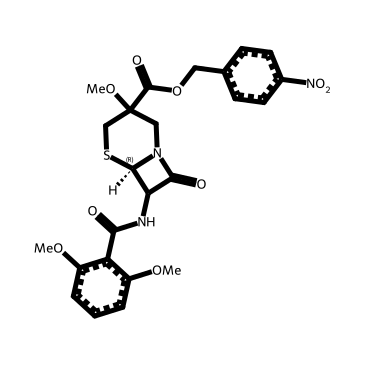 COc1cccc(OC)c1C(=O)NC1C(=O)N2CC(OC)(C(=O)OCc3ccc([N+](=O)[O-])cc3)CS[C@H]12